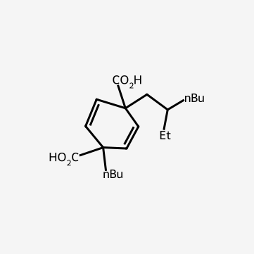 CCCCC(CC)CC1(C(=O)O)C=CC(CCCC)(C(=O)O)C=C1